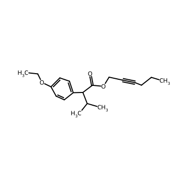 CCCC#CCOC(=O)C(c1ccc(OCC)cc1)C(C)C